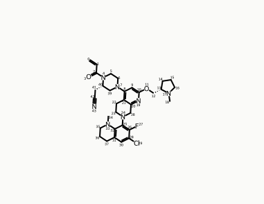 C=CC(=O)N1CCN(c2cc(OC[C@@H]3CCCN3C)nc3c2CCN(c2c(F)c(Cl)cc4c2N(C)CCC4)C3)C[C@@H]1CC#N